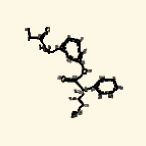 CCC(=S)Nc1cccc(OC(=O)N(CCBr)c2ccccc2)c1